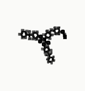 CC(C)(c1ccccc1)c1ccc(OC(=O)N(C(=O)Oc2ccc(C(C)(C)c3ccccc3)cc2)C2CCC(CC3CCC(OC#N)CC3)CC2)cc1